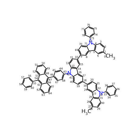 Cc1ccc2c(c1)c1cc(-c3ccc4c(c3)c3cc(-c5ccc6c(c5)c5cc(C)ccc5n6-c5ccccc5)ccc3n4-c3ccc(-c4c5ccccc5c(-c5ccccc5)c5ccccc45)cc3)ccc1n2-c1ccccc1